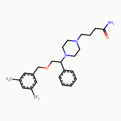 NC(=O)CCCN1CCN(C(COCc2cc(C(F)(F)F)cc(C(F)(F)F)c2)c2ccccc2)CC1